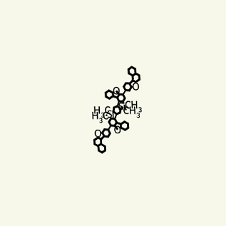 C[Si]1(C)c2cc3c(cc2-c2c1cc(-c1ccc4c(c1)oc1ccc5ccccc5c14)c1oc4ccccc4c21)[Si](C)(C)c1cc(-c2ccc4c(c2)oc2ccc5ccccc5c24)c2oc4ccccc4c2c1-3